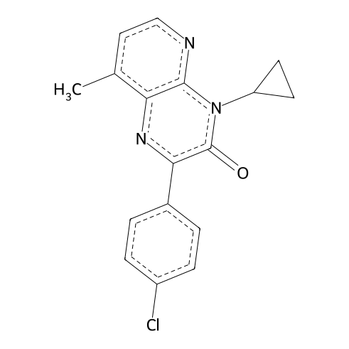 Cc1ccnc2c1nc(-c1ccc(Cl)cc1)c(=O)n2C1CC1